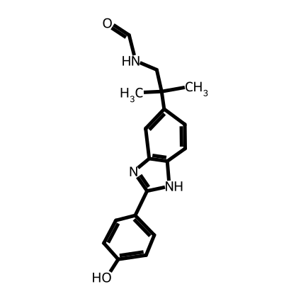 CC(C)(CNC=O)c1ccc2[nH]c(-c3ccc(O)cc3)nc2c1